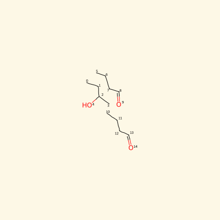 CCC(C)O.CCCC=O.CCCC=O